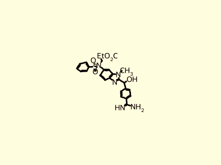 CCOC(=O)CN(c1ccc2nc(C(O)c3ccc(C(=N)N)cc3)n(C)c2c1)S(=O)(=O)c1ccccc1